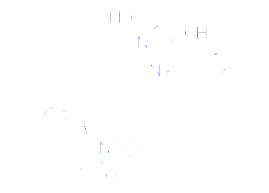 Cc1cc(C)c2c(-c3ccccc3)cn(CCCCCC(=O)N3C(=O)OC[C@H]3Cc3ccccc3)c2n1